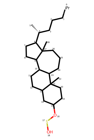 CC(C)CCC[C@@H](C)C1CCC2C3CCC4CC(OSO)CCC4(C)C3CCCC21C